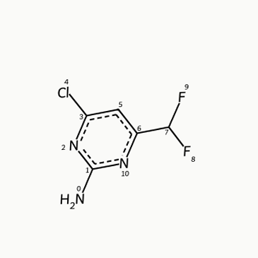 Nc1nc(Cl)cc(C(F)F)n1